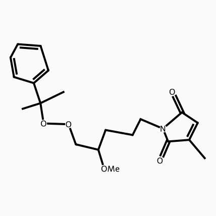 COC(CCCN1C(=O)C=C(C)C1=O)COOC(C)(C)c1ccccc1